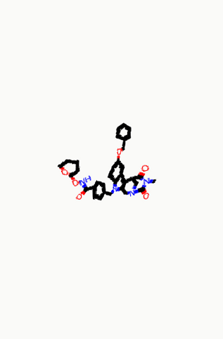 CN1C(=O)C2CN(Cc3c2c2cc(OCc4ccccc4)ccc2n3Cc2ccc(C(=O)NOC3CCCCO3)cc2)C1=O